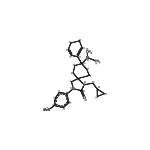 CSc1ccc(N2CC3(CCC(C4=CCCC=C4)(N(C)C)CC3)N(CC3CC3)C2=O)cc1